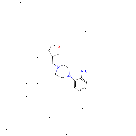 Nc1ccccc1N1CCN(CC2CCOC2)CC1